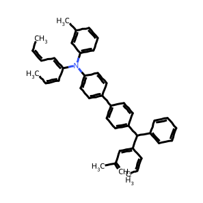 C=C(C)/C=C(\C=C/C)C(c1ccccc1)c1ccc(-c2ccc(N(C(/C=C\C)=C/C=C\C)c3cccc(C)c3)cc2)cc1